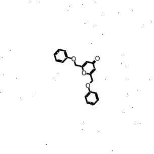 O=c1cc(COc2ccccc2)oc(COc2ccccc2)c1